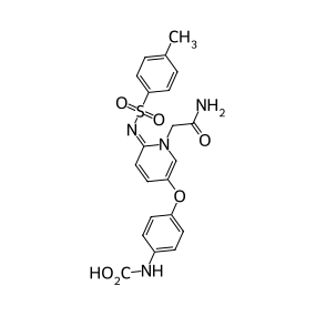 Cc1ccc(S(=O)(=O)N=c2ccc(Oc3ccc(NC(=O)O)cc3)cn2CC(N)=O)cc1